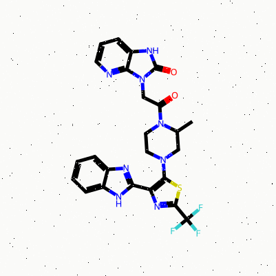 CC1CN(c2sc(C(F)(F)F)nc2-c2nc3ccccc3[nH]2)CCN1C(=O)Cn1c(=O)[nH]c2cccnc21